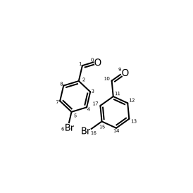 O=Cc1ccc(Br)cc1.O=Cc1cccc(Br)c1